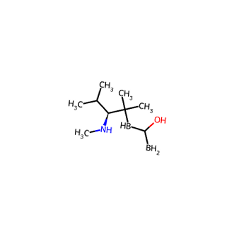 BC(O)BC(C)(C)[C@@H](NC)C(C)C